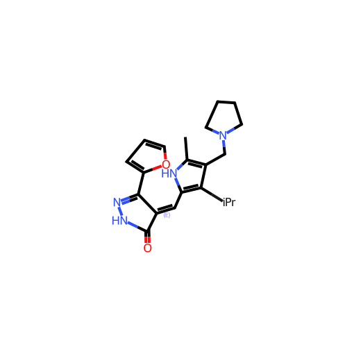 Cc1[nH]c(/C=C2/C(=O)NN=C2c2ccco2)c(C(C)C)c1CN1CCCC1